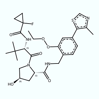 CCOOc1cc(-c2scnc2C)ccc1CNC(=O)[C@@H]1C[C@@H](O)CN1C(=O)[C@@H](NC(=O)C1(F)CC1)C(C)(C)C